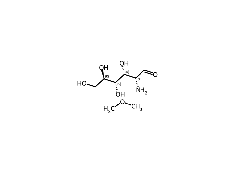 COC.N[C@@H](C=O)[C@@H](O)[C@H](O)[C@H](O)CO